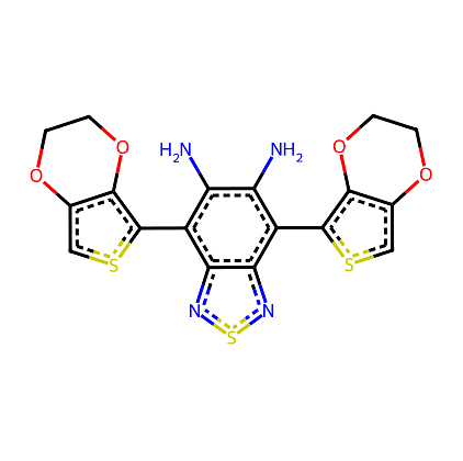 Nc1c(N)c(-c2scc3c2OCCO3)c2nsnc2c1-c1scc2c1OCCO2